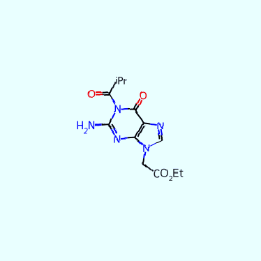 CCOC(=O)Cn1cnc2c(=O)n(C(=O)C(C)C)c(N)nc21